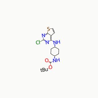 CC(C)(C)OC(=O)N[C@H]1CC[C@@H](Nc2nc(Cl)nc3sccc23)CC1